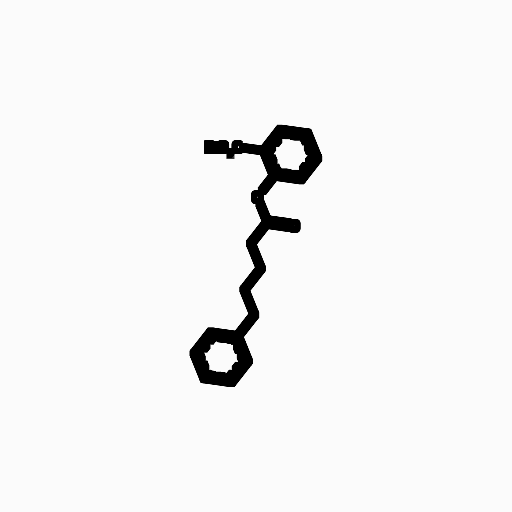 CCOC(=O)c1ccccc1OC(=O)CCCCc1ccccc1